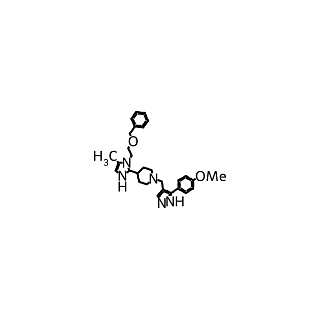 COc1ccc(-c2[nH]ncc2CN2CCC(C3NC=C(C)N3CCOCc3ccccc3)CC2)cc1